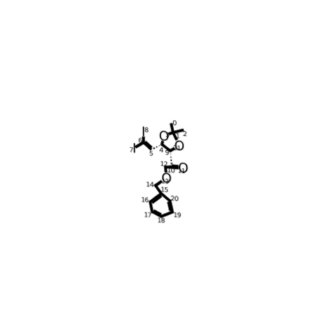 CC1(C)O[C@@H](C=C(I)I)[C@@H](C(=O)COCc2ccccc2)O1